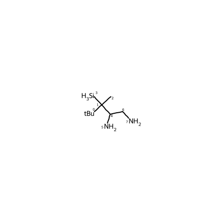 CC(C)(C)C(C)([SiH3])C(N)CN